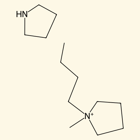 C1CCNC1.CCCC[N+]1(C)CCCC1